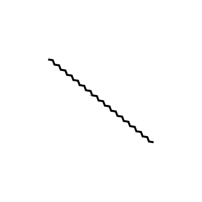 CCCCCCCCCCCCCC[CH]CCCCCCCCCCCCCCCCCCC